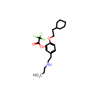 O=C(O)C(F)(F)F.O=C(O)CCNCCc1ccc(OCCC2CCCCC2)cc1